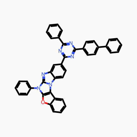 c1ccc(-c2ccc(-c3nc(-c4ccccc4)nc(-c4ccc5c(c4)nc4n(-c6ccccc6)c6oc7ccccc7c6n54)n3)cc2)cc1